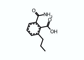 CCCc1cccc(C(N)=O)c1C(=O)O